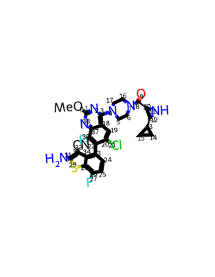 COc1nc(N2CCN(C(=O)[C@H]3N[C@H]3C3CC3)CC2)c2cc(Cl)c(-c3ccc(F)c4sc(N)c(C#N)c34)c(F)c2n1